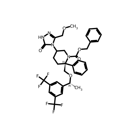 COCc1n[nH]c(=O)n1C1CC[C@@](CO[C@H](C)c2cc(C(F)(F)F)cc(C(F)(F)F)c2)(c2ccccc2)N(C(=O)OCc2ccccc2)C1